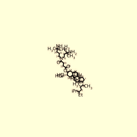 CCC(CCC(C)[C@H]1CC[C@H]2[C@@H]3CC=C4C[C@@H](OC(=O)CCC(=O)N(CCCC(C)(C)N)CCC(C)(C)N)CC[C@]4(C)[C@H]3CC[C@]12C)C(C)C.Cl.Cl